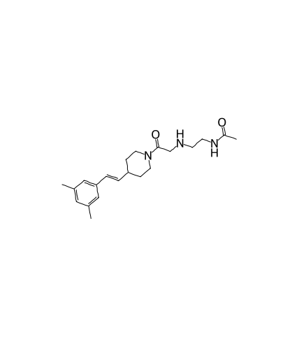 CC(=O)NCCNCC(=O)N1CCC(/C=C/c2cc(C)cc(C)c2)CC1